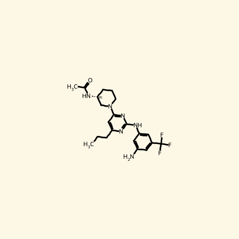 CCCc1cc(N2CCC[C@@H](NC(C)=O)C2)nc(Nc2cc(N)cc(C(F)(F)F)c2)n1